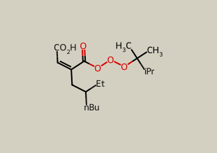 CCCCC(CC)CC(=CC(=O)O)C(=O)OOOC(C)(C)C(C)C